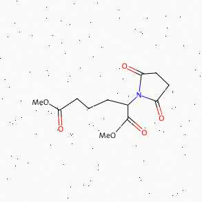 COC(=O)CCCC(C(=O)OC)N1C(=O)CCC1=O